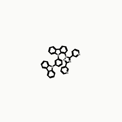 c1cncc(-c2nc(-c3cccnc3)n(-c3cccc4c5ccccc5n(-c5cccc(-n6c7ccccc7c7ccccc76)c5)c34)n2)c1